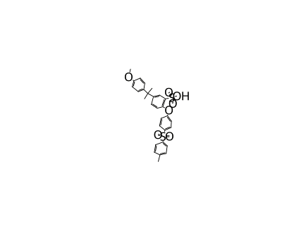 COc1ccc(C(C)(C)c2ccc(Oc3ccc(S(=O)(=O)c4ccc(C)cc4)cc3)c(S(=O)(=O)O)c2)cc1